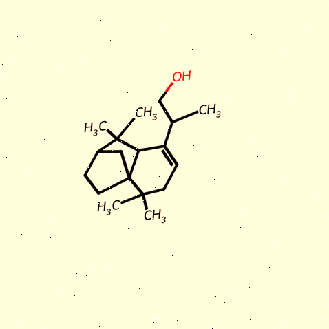 CC(CO)C1=CCC(C)(C)C23CCC(C2)C(C)(C)C13